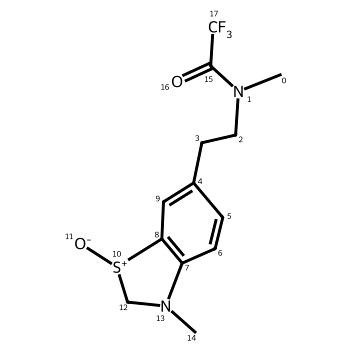 CN(CCc1ccc2c(c1)[S+]([O-])CN2C)C(=O)C(F)(F)F